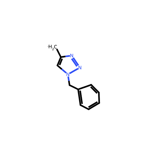 [CH2]c1cn(Cc2ccccc2)nn1